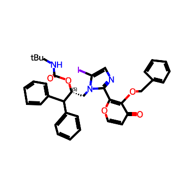 CC(C)(C)NC(=O)O[C@H](Cn1c(I)cnc1-c1occc(=O)c1OCc1ccccc1)C(c1ccccc1)c1ccccc1